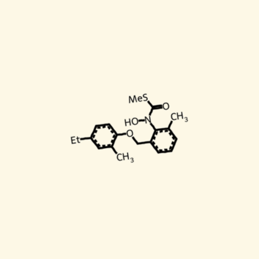 CCc1ccc(OCc2cccc(C)c2N(O)C(=O)SC)c(C)c1